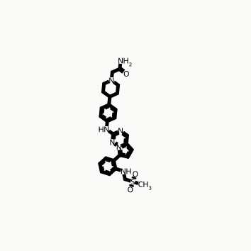 CS(=O)(=O)CNc1ccccc1-c1ccc2cnc(Nc3ccc(C4CCN(CC(N)=O)CC4)cc3)nn12